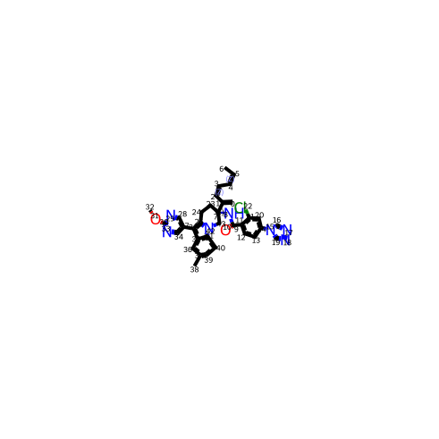 C=C(/C=C\C=C/C)[C@@]1(NC(=O)c2ccc(-n3cnnc3)cc2Cl)CCc2c(-c3cnc(OC)nc3)c3cc(C)ccc3n2C1